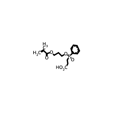 C=C(C)C(=O)OCCCOP(=O)(CCC(=O)O)c1ccccc1